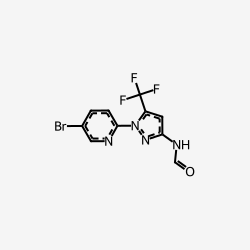 O=CNc1cc(C(F)(F)F)n(-c2ccc(Br)cn2)n1